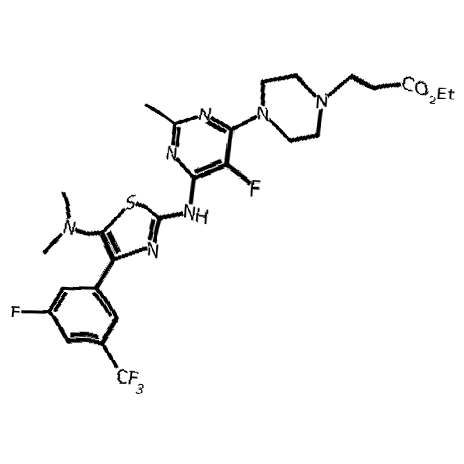 CCOC(=O)CCN1CCN(c2nc(C)nc(Nc3nc(-c4cc(F)cc(C(F)(F)F)c4)c(N(C)C)s3)c2F)CC1